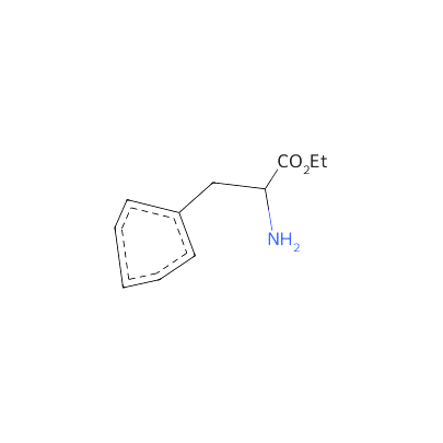 [CH2]COC(=O)C(N)Cc1ccccc1